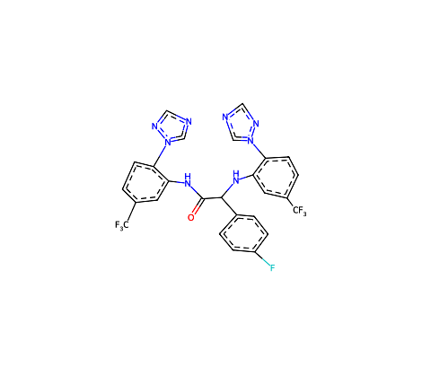 O=C(Nc1cc(C(F)(F)F)ccc1-n1cncn1)C(Nc1cc(C(F)(F)F)ccc1-n1cncn1)c1ccc(F)cc1